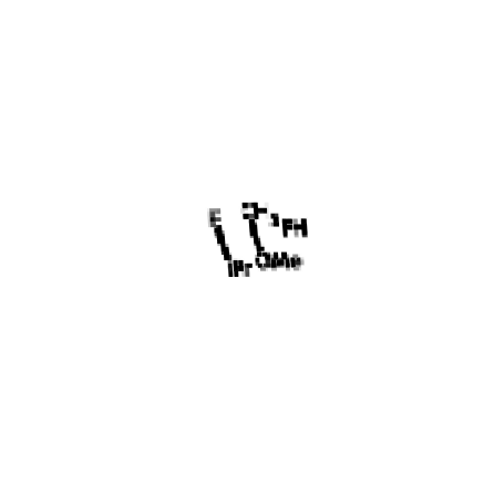 CC(C)F.COC.F